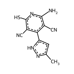 Cc1cc(-c2c(C#N)c(N)nc(S)c2C#N)[nH]n1